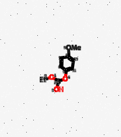 CCOB(O)Oc1ccc(OC)cc1